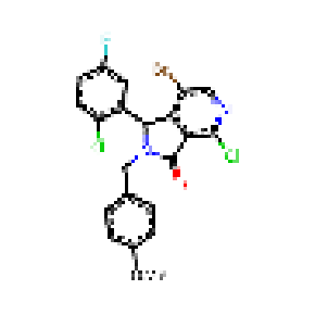 COc1ccc(CN2C(=O)c3c(Cl)ncc(Br)c3C2c2cc(F)ccc2Cl)cc1